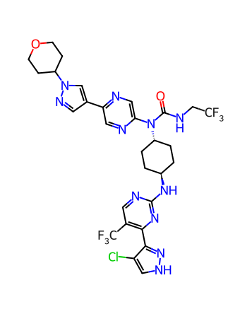 O=C(NCC(F)(F)F)N(c1cnc(-c2cnn(C3CCOCC3)c2)cn1)[C@H]1CC[C@H](Nc2ncc(C(F)(F)F)c(-c3n[nH]cc3Cl)n2)CC1